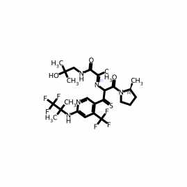 C/C(=N\C(C(=O)N1CCC[C@@H]1C)C(=S)c1cnc(NC(C)(C)C(F)(F)F)cc1C(F)(F)F)C(=O)NCC(C)(C)O